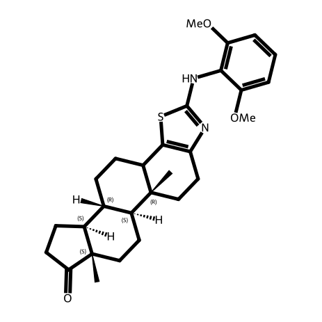 COc1cccc(OC)c1Nc1nc2c(s1)C1CC[C@@H]3[C@H](CC[C@]4(C)C(=O)CC[C@@H]34)[C@@]1(C)CC2